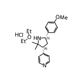 CCOCC.COc1ccc([C@@H]2C[C@H](c3ccncc3)C(C)(C)N2)cc1.Cl